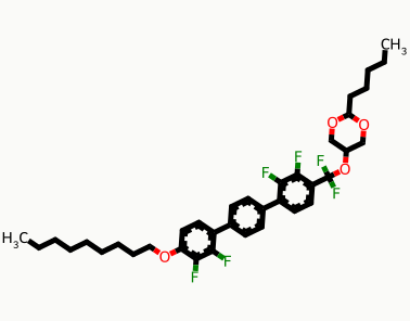 CCCCCCCCCOc1ccc(-c2ccc(-c3ccc(C(F)(F)OC4COC(CCCCC)OC4)c(F)c3F)cc2)c(F)c1F